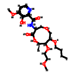 CCCCOC1COCC(NC(=O)c2nccc(OC)c2O)C(=O)O[C@@H](C)[C@@H]1OCCOC